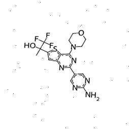 CC(O)(c1cc2nc(-c3cnc(N)nc3)nc(N3CCOCC3)c2s1)C(F)(F)F